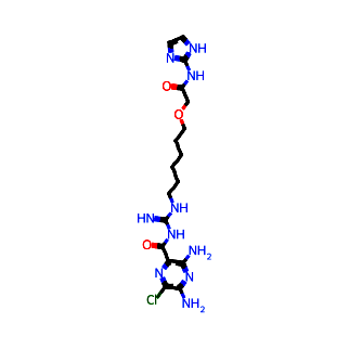 N=C(NCCCCCCOCC(=O)Nc1ncc[nH]1)NC(=O)c1nc(Cl)c(N)nc1N